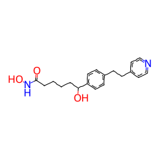 O=C(CCCCC(O)c1ccc(CCc2ccncc2)cc1)NO